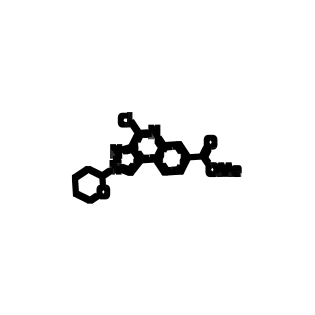 COC(=O)c1ccc2c(c1)nc(Cl)c1nn(C3CCCCO3)cc12